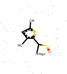 CCCCCCCC([S+]=O)c1sc(C#N)cc1C#N